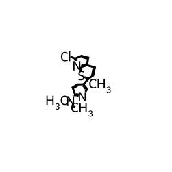 CN(C)c1ccc(C2(C)C=Cc3ccc(Cl)nc3S2)cn1